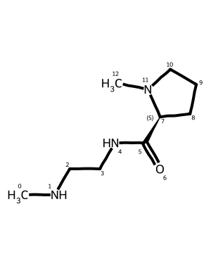 CNCCNC(=O)[C@@H]1CCCN1C